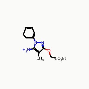 CCOC(=O)COc1nn(C2=CC=CCC2)c(N)c1C